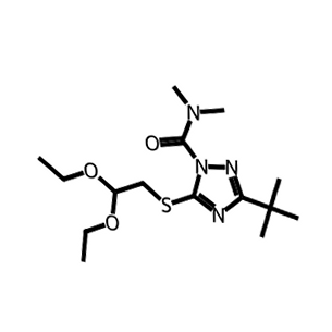 CCOC(CSc1nc(C(C)(C)C)nn1C(=O)N(C)C)OCC